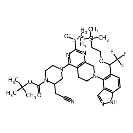 C[S+]([O-])c1nc2c(c(N3CCN(C(=O)OC(C)(C)C)C(CC#N)C3)n1)CCN(c1c(C(OCC[Si](C)(C)C)C(F)(F)F)ccc3[nH]ncc13)C2